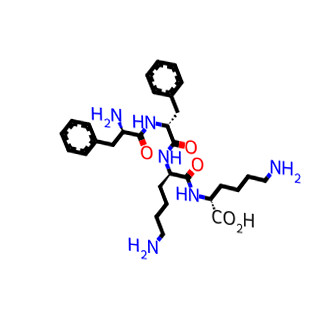 NCCCC[C@@H](NC(=O)[C@@H](CCCCN)NC(=O)[C@@H](Cc1ccccc1)NC(=O)[C@H](N)Cc1ccccc1)C(=O)O